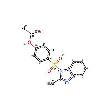 CCCCc1nc2ccccc2n1S(=O)(=O)c1ccc(OC(Br)CC)cc1